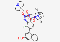 CN(C)S(=O)(=O)CC(=O)N1[C@@H]2CC[C@H]1CN(c1nc(OCC34CCCN3CCC4)nc3c(F)c(-c4cc(O)cc5ccccc45)ccc13)C2